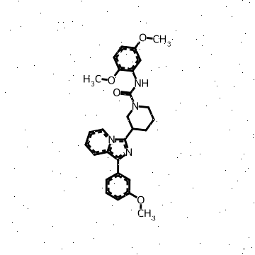 COc1cccc(-c2nc(C3CCCN(C(=O)Nc4cc(OC)ccc4OC)C3)n3ccccc23)c1